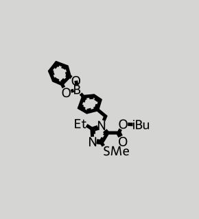 CCc1nc(SC)c(C(=O)OC(C)CC)n1Cc1ccc(B2Oc3ccccc3O2)cc1